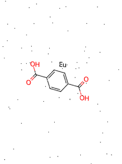 O=C(O)c1ccc(C(=O)O)cc1.[Eu]